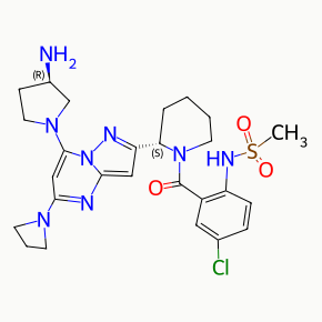 CS(=O)(=O)Nc1ccc(Cl)cc1C(=O)N1CCCC[C@H]1c1cc2nc(N3CCC3)cc(N3CC[C@@H](N)C3)n2n1